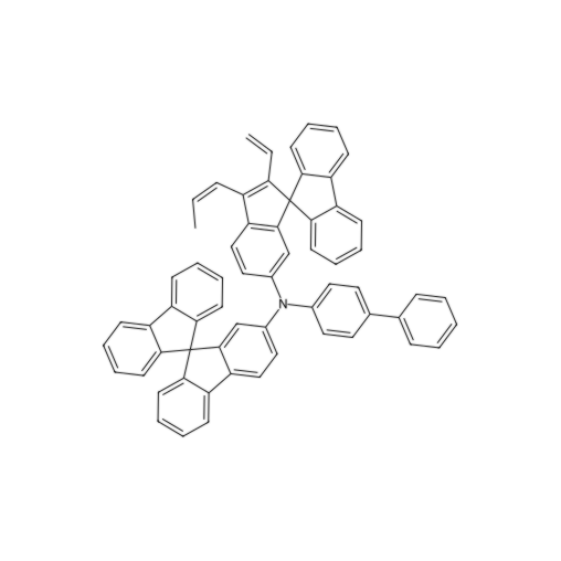 C=CC1=C(/C=C\C)c2ccc(N(c3ccc(-c4ccccc4)cc3)c3ccc4c(c3)C3(c5ccccc5-c5ccccc53)c3ccccc3-4)cc2C12c1ccccc1-c1ccccc12